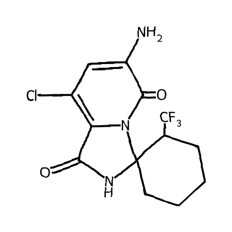 Nc1cc(Cl)c2n(c1=O)C1(CCCCC1C(F)(F)F)NC2=O